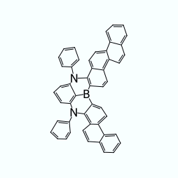 c1ccc(N2c3cccc4c3B(c3ccc5c(ccc6ccccc65)c32)c2ccc3c(ccc5c6ccccc6ccc35)c2N4c2ccccc2)cc1